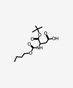 CCCCOC(=O)NC(CC(=O)O)C(=O)OC(C)(C)C